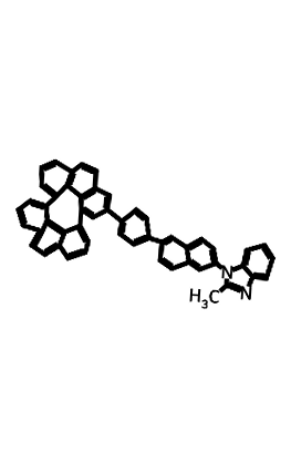 Cc1nc2ccccc2n1-c1ccc2cc(-c3ccc(-c4cc5ccc6cccc7c8cccc9ccc%10cccc(c(c4)c5c67)c%10c98)cc3)ccc2c1